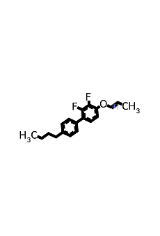 C/C=C/Oc1ccc(-c2ccc(CCCC)cc2)c(F)c1F